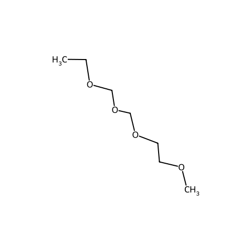 CCOCOCOCCOC